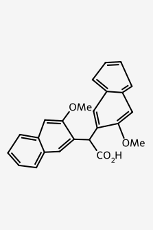 COc1cc2ccccc2cc1C(C(=O)O)c1cc2ccccc2cc1OC